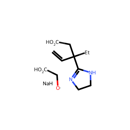 C=CC(CC)(CC(=O)O)C1=NCCN1.[NaH].[O]CC(=O)O